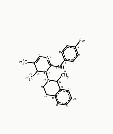 CC1=CN=C(Nc2ccc(F)cc2)N(N2CCc3ccccc3C2C)C1C